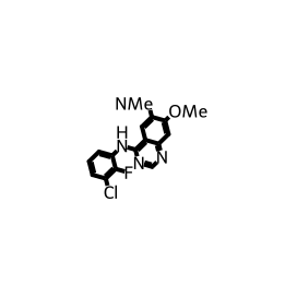 CNc1cc2c(Nc3cccc(Cl)c3F)ncnc2cc1OC